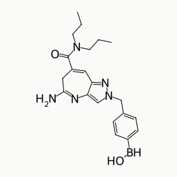 CCCN(CCC)C(=O)C1=Cc2nn(Cc3ccc(BO)cc3)cc2N=C(N)C1